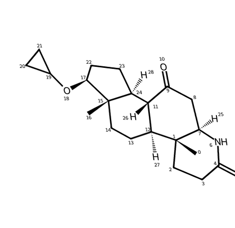 C[C@]12CCC(=O)N[C@@H]1CC(=O)[C@@H]1[C@@H]2CC[C@]2(C)[C@@H](OC3CC3)CC[C@@H]12